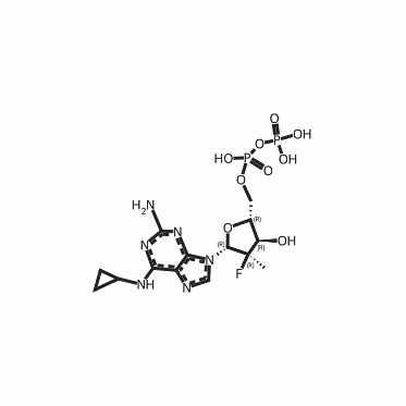 C[C@@]1(F)[C@H](O)[C@@H](COP(=O)(O)OP(=O)(O)O)O[C@H]1n1cnc2c(NC3CC3)nc(N)nc21